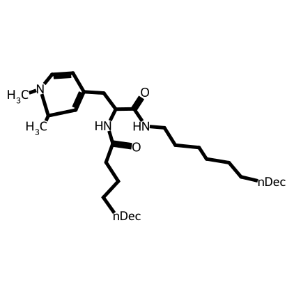 CCCCCCCCCCCCCCCCNC(=O)C(CC1=CC(C)N(C)C=C1)NC(=O)CCCCCCCCCCCCC